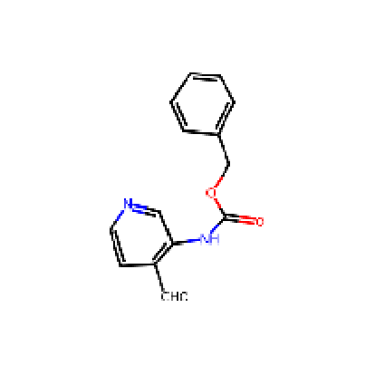 O=Cc1ccncc1NC(=O)OCc1ccccc1